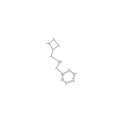 c1ccc(COCC2CCS2)cc1